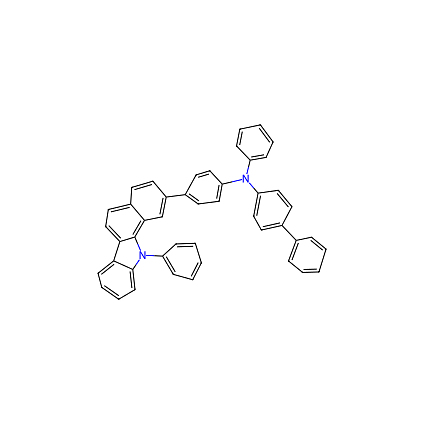 c1ccc(-c2ccc(N(c3ccccc3)c3ccc(-c4ccc5ccc6c7ccccc7n(-c7ccccc7)c6c5c4)cc3)cc2)cc1